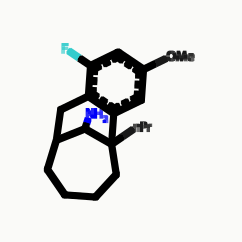 CCCC12CCCCC(Cc3c(F)cc(OC)cc31)C2N